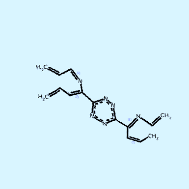 C=C/C=N\C(=C/C=C)c1nnc(C(/C=C\C)=N/C=C)nn1